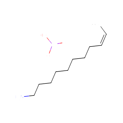 CCCCCCCC/C=C\CCCCCCCCN.[O-][I+2]([O-])O